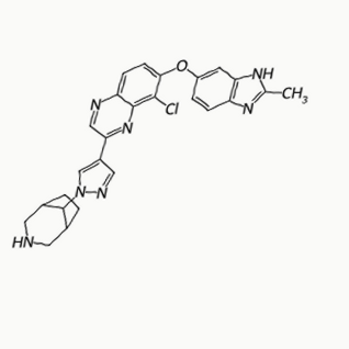 Cc1nc2ccc(Oc3ccc4ncc(-c5cnn(C6C7CCC6CNC7)c5)nc4c3Cl)cc2[nH]1